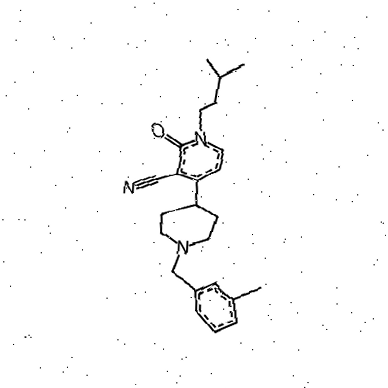 Cc1cccc(CN2CCC(c3ccn(CCC(C)C)c(=O)c3C#N)CC2)c1